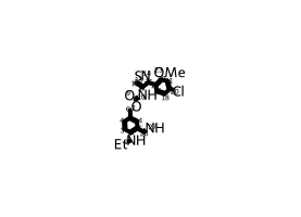 CCNc1ccc(COC(=O)Nc2csnc2-c2ccc(Cl)cc2OC)cc1C=N